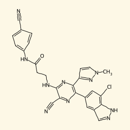 Cn1ccc(-c2nc(NCCC(=O)Nc3ccc(C#N)cc3)c(C#N)nc2-c2cc(Cl)c3[nH]ncc3c2)n1